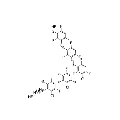 F.F.F.F.F.Fc1cc(F)c(Cl)c(F)c1[S].Fc1cc(F)c(Cl)c(F)c1[S].Fc1cc(F)c(Cl)c(F)c1[S].Fc1cc(F)c(Cl)c(F)c1[S].Fc1cc(F)c(Cl)c(F)c1[S]